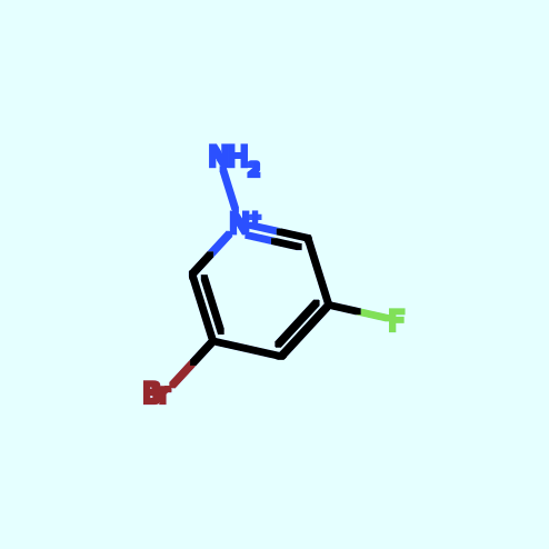 N[n+]1cc(F)cc(Br)c1